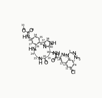 C=N/N=C\N(N)c1ccc(Cl)cc1/C=C/C(=O)N[C@H]1CC(=O)NCCNc2cc(NC(=O)OC)ccc2-c2c[nH]c1n2